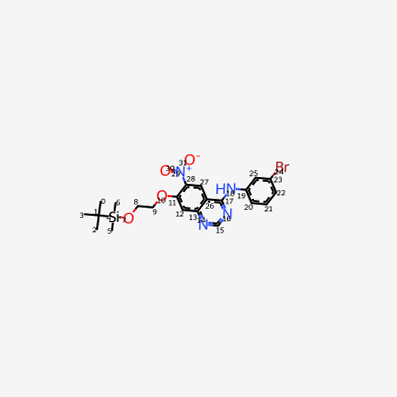 CC(C)(C)[Si](C)(C)OCCOc1cc2ncnc(Nc3cccc(Br)c3)c2cc1[N+](=O)[O-]